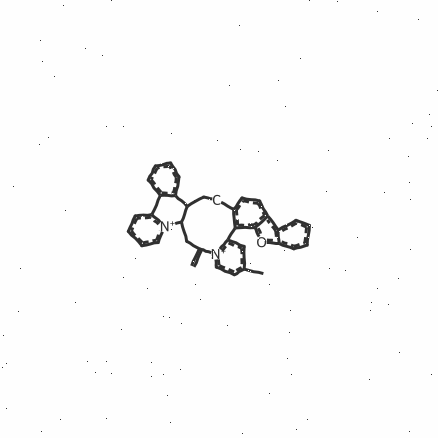 C=C1CC2C(CCc3ccc4c(oc5ccccc54)c3-c3cc(C)cc[n+]31)c1ccccc1-c1cccc[n+]12